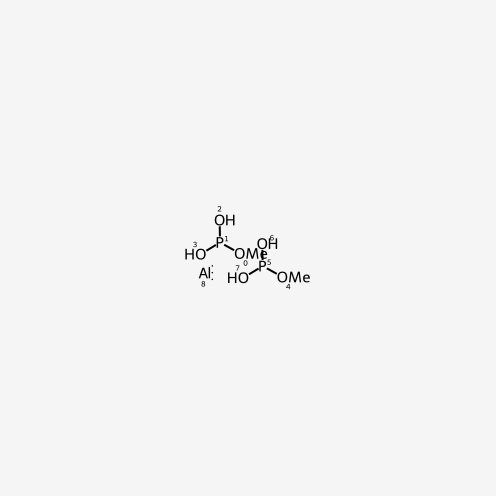 COP(O)O.COP(O)O.[Al]